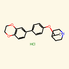 Cl.c1cc(-c2ccc3c(c2)OCCO3)ccc1OC1CN2CCC1CC2